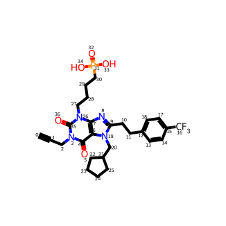 C#CCn1c(=O)c2c(nc(CCc3ccc(C(F)(F)F)cc3)n2CC2CCCC2)n(CCCCP(=O)(O)O)c1=O